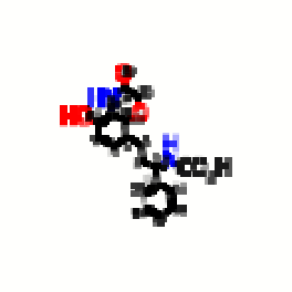 O=C(O)N[C](CCc1ccc(O)c2c1OCC(=O)N2)c1ccccc1